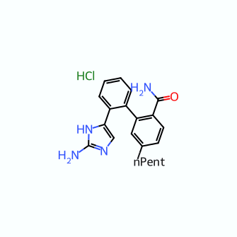 CCCCCc1ccc(C(N)=O)c(-c2ccccc2-c2cnc(N)[nH]2)c1.Cl